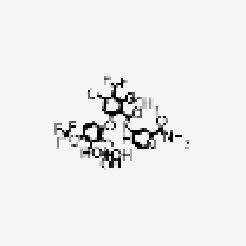 COc1c(C(=O)Nc2ccnc(C(N)=O)c2)c(Oc2ccc(OC(F)(F)F)c(F)c2OC(O)(O)O)cc(Cl)c1C(F)F